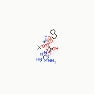 CNc1nc(N)nc2c1ncn2C1O[C@H](COP(=O)(N[C@@H](C)C(=O)OCC(C)(C)C)Oc2cccc3ccccc23)[C@@H](O)[C@@]1(C)O